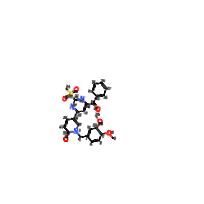 COc1ccc(Cn2cc(-c3cc(C(=O)c4ccccc4)nc(S(C)(=O)=O)n3)ccc2=O)cc1OC